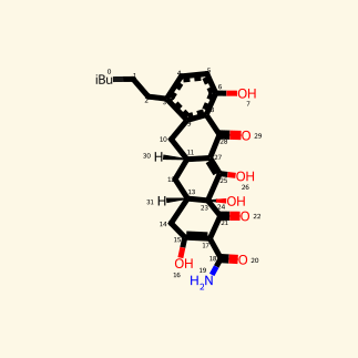 CCC(C)CCc1ccc(O)c2c1C[C@H]1C[C@H]3CC(O)=C(C(N)=O)C(=O)[C@@]3(O)C(O)=C1C2=O